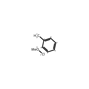 COCl.Cc1ccccc1